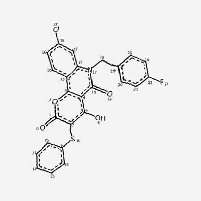 O=c1oc2c(c(O)c1Sc1ccccc1)c(=O)n(Cc1ccc(F)cc1)c1cc(Cl)ccc21